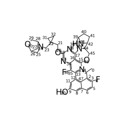 CCc1c(F)ccc2cc(O)cc(-c3nc4c5c(nc(OCC6(CN7CC8CC7CO8)CC6)nc5c3F)N3CC5CCC(N5)C3CO4)c12